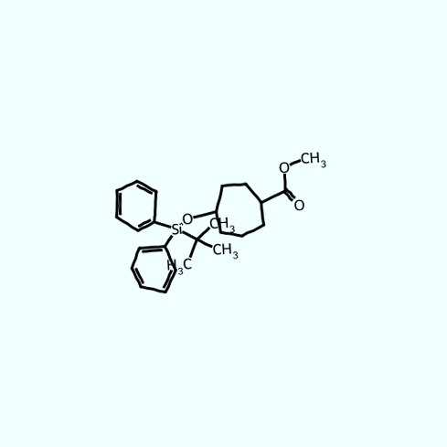 COC(=O)C1CCCC(O[Si](c2ccccc2)(c2ccccc2)C(C)(C)C)CC1